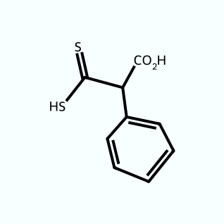 O=C(O)C(C(=S)S)c1ccccc1